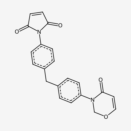 O=C1C=COCN1c1ccc(Cc2ccc(N3C(=O)C=CC3=O)cc2)cc1